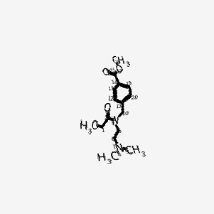 CCC(=O)N(CCN(C)C)Cc1ccc(C(=O)OC)cc1